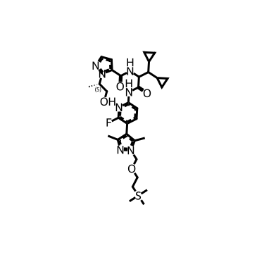 Cc1nn(COCCS(C)(C)C)c(C)c1-c1ccc(NC(=O)C(NC(=O)c2ccnn2[C@@H](C)CO)C(C2CC2)C2CC2)nc1F